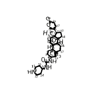 C[C@]12CC[C@H](NC(=O)NC3CCNCC3)C=C1CC[C@@H]1[C@@H]2CC[C@]2(C)[C@@H](c3ccc(=O)oc3)CC[C@]12O